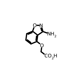 Nc1noc2cccc(OCC(=O)O)c12